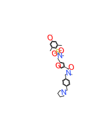 COc1cc(C)c(S(=O)(=O)N(C)Cc2cc(C(=O)N(C)Cc3ccc(CN4CCCC4)cc3)co2)c(C)c1